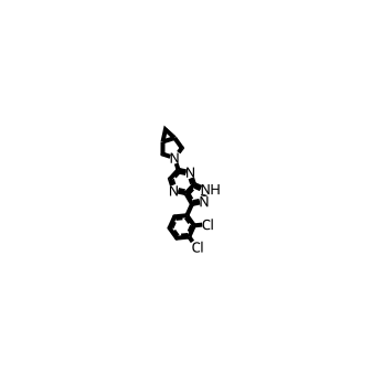 Clc1cccc(-c2n[nH]c3nc(N4CC5CC5C4)cnc23)c1Cl